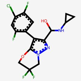 OC(NC1CC1)c1nn2c(c1-c1cc(F)c(Cl)cc1F)OCC(F)(F)C2